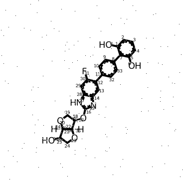 Oc1cccc(O)c1-c1ccc(-c2cc3nc(O[C@@H]4CO[C@H]5[C@@H]4OC[C@H]5O)[nH]c3cc2F)cc1